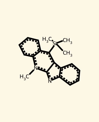 Cn1c2nc3ccccc3c-2c([Si](C)(C)C)c2ccccc21